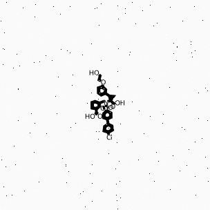 O=C(O)c1cccc(CN(C2(C(=O)O)CC2c2cccc(OCCO)c2)S(=O)(=O)c2ccc(-c3ccc(Cl)cc3)cc2)c1